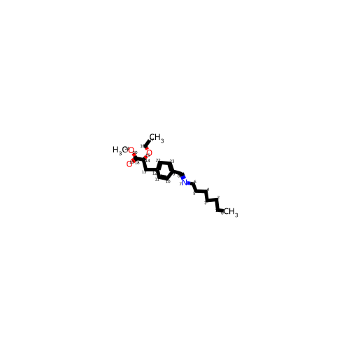 CCCCCCCN=Cc1ccc(CC(OCC)C(=O)OC)cc1